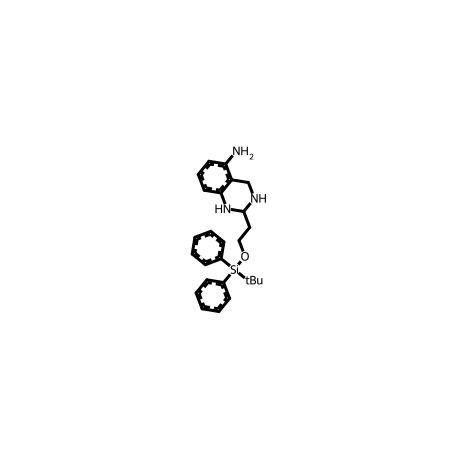 CC(C)(C)[Si](OCCC1NCc2c(N)cccc2N1)(c1ccccc1)c1ccccc1